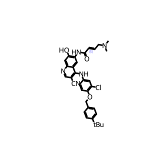 CN(C)C/C=C/C(=O)Nc1cc2c(Nc3ccc(OCc4ccc(C(C)(C)C)cc4)c(Cl)c3)c(C#N)cnc2cc1O